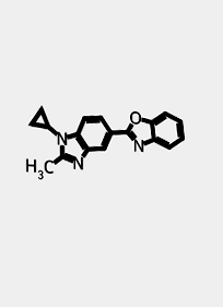 Cc1nc2cc(-c3nc4ccccc4o3)ccc2n1C1CC1